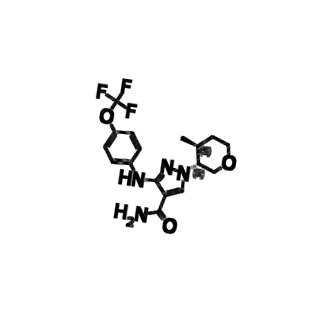 C[C@H]1CCOC[C@@H]1n1cc(C(N)=O)c(Nc2ccc(OC(F)(F)F)cc2)n1